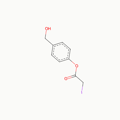 O=C(CI)Oc1ccc(CO)cc1